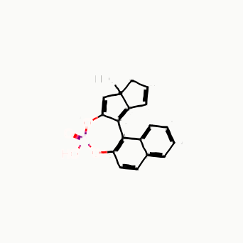 CC12C=C3OP(=O)(O)Oc4ccc5ccccc5c4C3=C1C=CC2